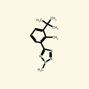 Cc1c(-c2nnn(C)n2)cccc1C(C)(C)C